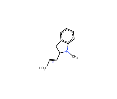 CN1c2ccccc2CC1/C=C/C(=O)O